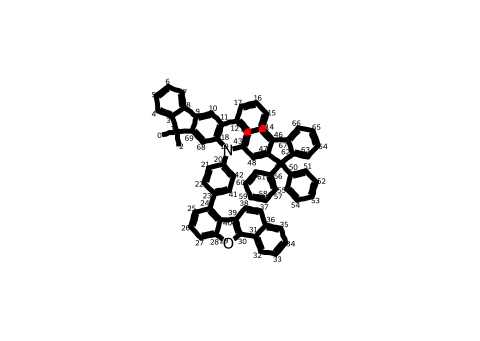 CC1(C)c2ccccc2-c2cc(-c3ccccc3)c(N(c3ccc(-c4cccc5oc6c7ccccc7ccc6c45)cc3)c3ccc4c(c3)C(c3ccccc3)(c3ccccc3)c3ccccc3-4)cc21